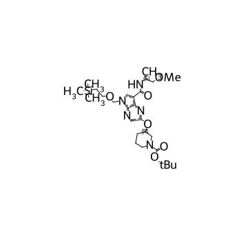 COC[C@H](C)NC(=O)c1cn(COCC[Si](C)(C)C)c2ncc(O[C@@H]3CCCN(C(=O)OC(C)(C)C)C3)nc12